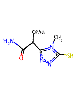 COC(C(N)=O)c1nnc(S)n1C